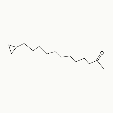 CC(=O)CCCCCCCCCCC1CC1